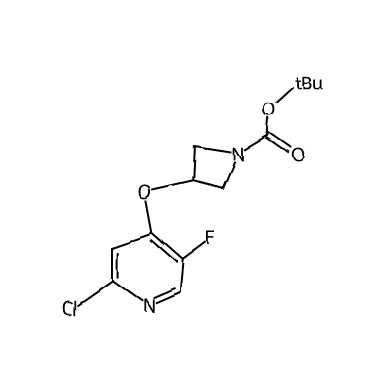 CC(C)(C)OC(=O)N1CC(Oc2cc(Cl)ncc2F)C1